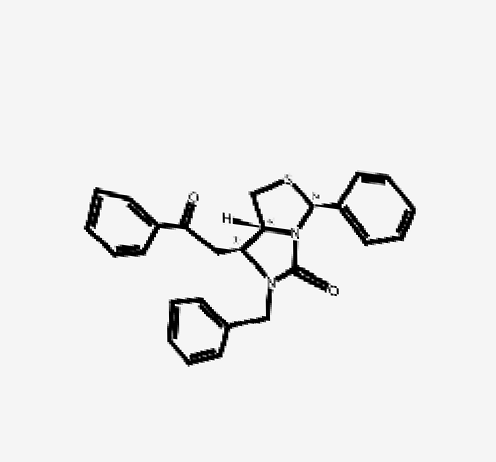 O=C(C[C@H]1[C@@H]2CS[C@@H](c3ccccc3)N2C(=O)N1Cc1ccccc1)c1ccccc1